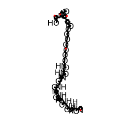 CC(=O)N1CCN(Cc2ccccc2CO)c2cc(C3=CCN(C(=O)COCCOCCOCCOCCOCCOCCOCCNC(=O)CCNC(=O)c4nc(CC(=O)CCNC(=O)c5cc(NC(=O)c6nc(NC(=O)CCNC(=O)c7cc(NC(=O)c8cccn8C)cn7C)cn6C)cn5C)cn4C)CC3)ccc21